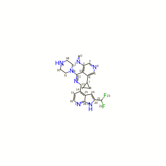 C=Nc1cncc(C2CC2)c1/C(=N\Cc1ccnc2[nH]c(C(F)F)cc12)N1CCNCC1